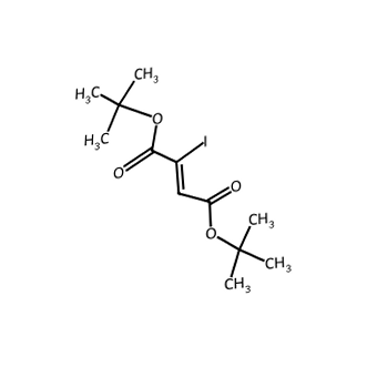 CC(C)(C)OC(=O)/C=C(\I)C(=O)OC(C)(C)C